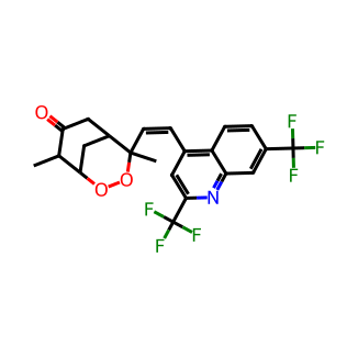 CC1C(=O)CC2CC1OOC2(C)/C=C\c1cc(C(F)(F)F)nc2cc(C(F)(F)F)ccc12